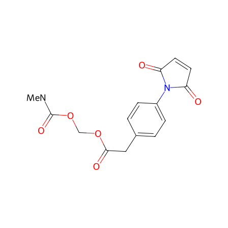 CNC(=O)OCOC(=O)Cc1ccc(N2C(=O)C=CC2=O)cc1